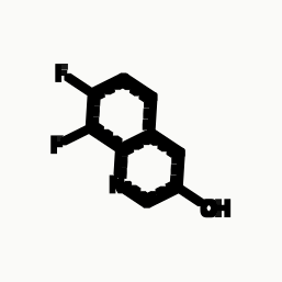 Oc1cnc2c(F)c(F)ccc2c1